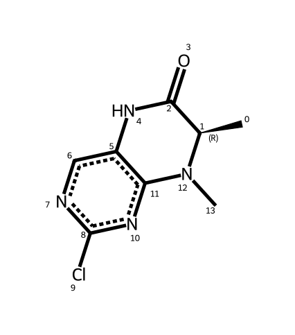 C[C@@H]1C(=O)Nc2cnc(Cl)nc2N1C